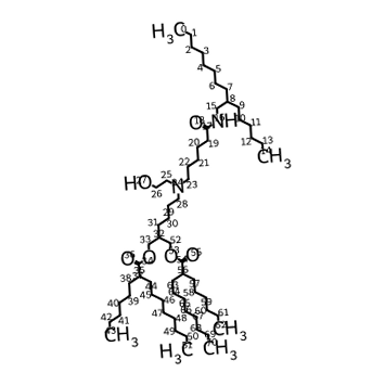 CCCCCCCCC(CCCCCC)CNC(=O)CCCCCN(CCO)CCCCC(COC(=O)C(CCCCCC)CCCCCCCC)COC(=O)C(CCCCCC)CCCCCCCC